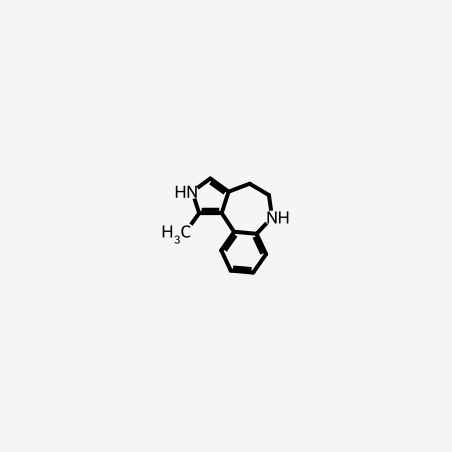 Cc1[nH]cc2c1-c1ccccc1NCC2